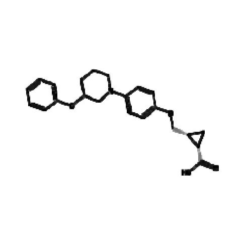 O=C(O)[C@H]1C[C@H]1COc1ccc(N2CCCC(Oc3ccccc3)C2)cc1